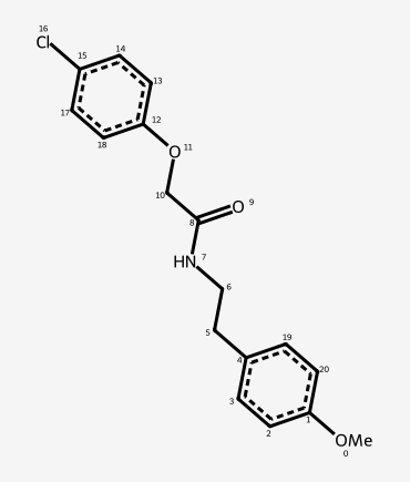 COc1ccc(CCNC(=O)COc2ccc(Cl)cc2)cc1